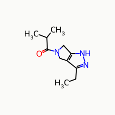 CCc1n[nH]c2c1CN(C(=O)C(C)C)C2